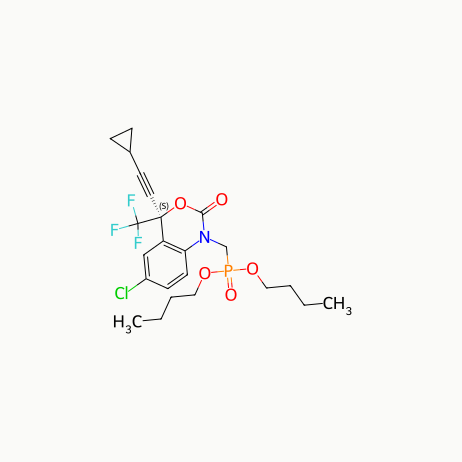 CCCCOP(=O)(CN1C(=O)O[C@](C#CC2CC2)(C(F)(F)F)c2cc(Cl)ccc21)OCCCC